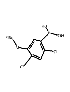 CCCCOc1cc(B(O)O)c(Cl)cc1Cl